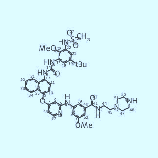 COc1cc(Nc2cc(Oc3ccc(NC(=O)Nc4cc(C(C)(C)C)cc(NS(C)(=O)=O)c4OC)c4ccccc34)ccn2)cc(C(=O)NCCN2CCNCC2)c1